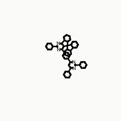 c1ccc(-c2cc(-c3ccc(-c4nc(-c5ccccc5)nc5c4C4(c6ccccc6-c6ccccc64)c4ccccc4-5)cc3)nc(-c3ccccc3)n2)cc1